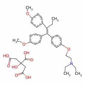 CCC(=C(c1ccc(OC)cc1)c1ccc(OCCN(CC)CC)cc1)c1ccc(OC)cc1.O=C(O)CC(O)(CC(=O)O)C(=O)O